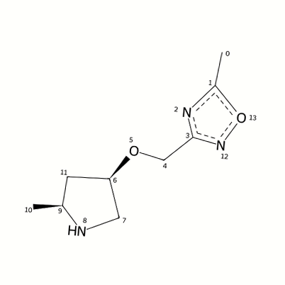 Cc1nc(CO[C@H]2CN[C@@H](C)C2)no1